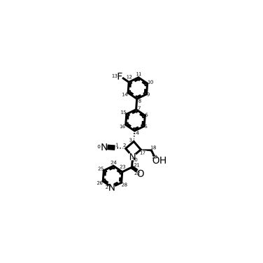 N#C[C@@H]1[C@H](c2ccc(-c3cccc(F)c3)cc2)[C@@H](CO)N1C(=O)c1cccnc1